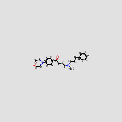 CCN(CCCC(=O)c1ccc(N2CCOCC2)cc1)CCCc1ccccc1